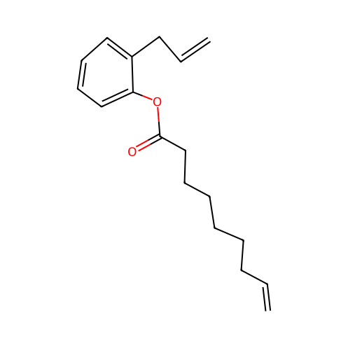 C=CCCCCCCC(=O)Oc1ccccc1CC=C